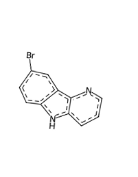 Brc1ccc2[nH]c3cccnc3c2c1